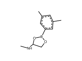 CNC1COB(c2cc(C)cc(C)c2)O1